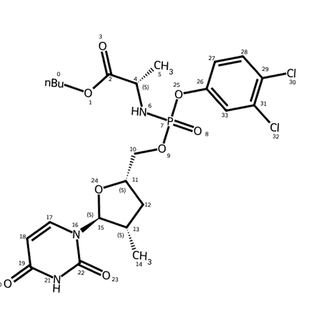 CCCCOC(=O)[C@H](C)NP(=O)(OC[C@@H]1C[C@H](C)[C@@H](n2ccc(=O)[nH]c2=O)O1)Oc1ccc(Cl)c(Cl)c1